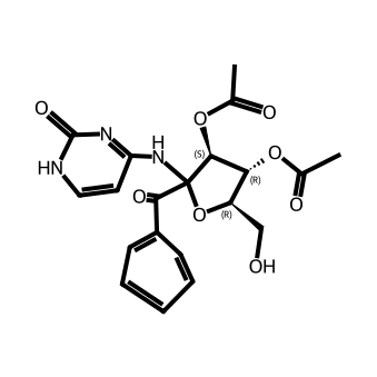 CC(=O)O[C@@H]1[C@@H](CO)OC(Nc2cc[nH]c(=O)n2)(C(=O)c2ccccc2)[C@H]1OC(C)=O